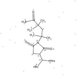 BC(=O)C(C)(C)CC(C)(C)N1C(=O)CC(C(CCCC)CCCCCC)C1=O